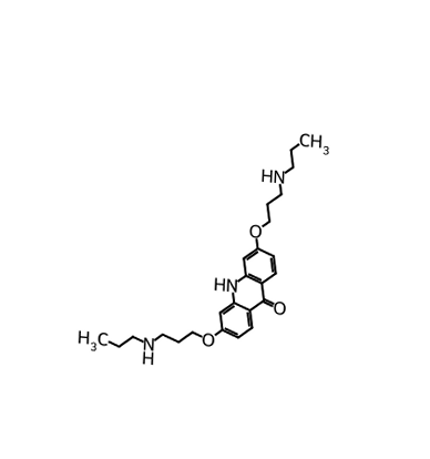 CCCNCCCOc1ccc2c(=O)c3ccc(OCCCNCCC)cc3[nH]c2c1